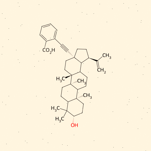 C=C(C)[C@@H]1CC[C@]2(C#Cc3ccccc3C(=O)O)CC[C@]3(C)C(CCC4[C@@]5(C)CC[C@H](O)C(C)(C)C5CC[C@]43C)C12